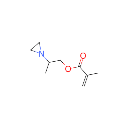 C=C(C)C(=O)OCC(C)N1CC1